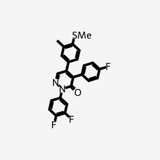 CSc1ccc(-c2cnn(-c3ccc(F)c(F)c3)c(=O)c2-c2ccc(F)cc2)cc1C